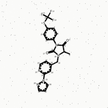 CC1C(=O)N(c2ccc(SC(F)(F)F)cc2)C(=O)N1Cc1ccnc(-n2cccn2)c1